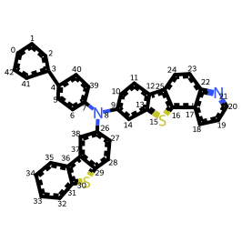 c1ccc(-c2ccc(N(c3ccc4c(c3)sc3c5cccnc5ccc43)c3ccc4sc5ccccc5c4c3)cc2)cc1